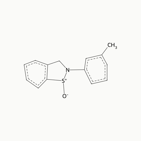 Cc1cccc(N2Cc3ccccc3[S+]2[O-])c1